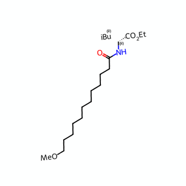 CCOC(=O)[C@H](NC(=O)CCCCCCCCCCCOC)[C@H](C)CC